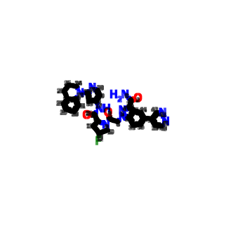 NC(=O)c1nn(CC(=O)N2CC(F)CC2C(=O)Nc2ccnc(N3CCCc4ccccc43)c2)c2ccc(-c3ccnnc3)cc12